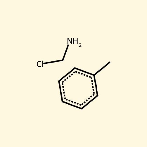 Cc1ccccc1.NCCl